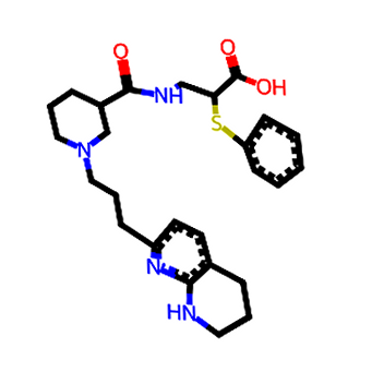 O=C(NCC(Sc1ccccc1)C(=O)O)C1CCCN(CCCc2ccc3c(n2)NCCC3)C1